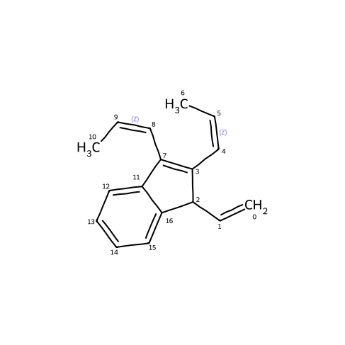 C=CC1C(/C=C\C)=C(/C=C\C)c2ccccc21